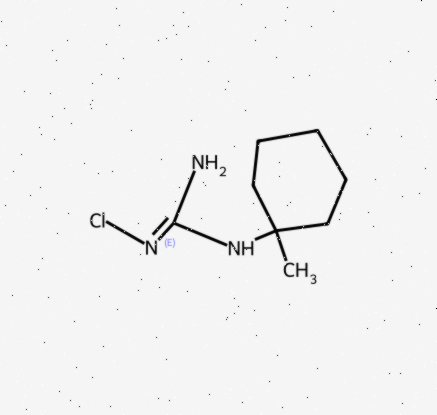 CC1(N/C(N)=N/Cl)CCCCC1